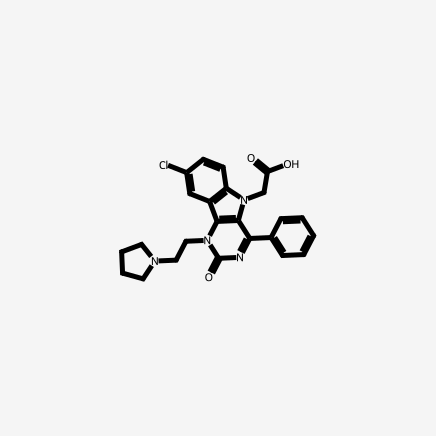 O=C(O)Cn1c2ccc(Cl)cc2c2c1c(-c1ccccc1)nc(=O)n2CCN1CCCC1